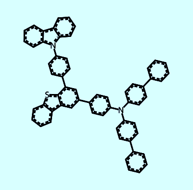 c1ccc(-c2ccc(N(c3ccc(-c4ccccc4)cc3)c3ccc(-c4cc(-c5ccc(-n6c7ccccc7c7ccccc76)cc5)c5sc6ccccc6c5c4)cc3)cc2)cc1